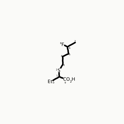 CCC(SCCCC(C)F)C(=O)O